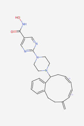 C=C1/C=C\C=C/CC(N2CCN(c3ncc(C(=O)NO)cn3)CC2)c2ccccc2CC1